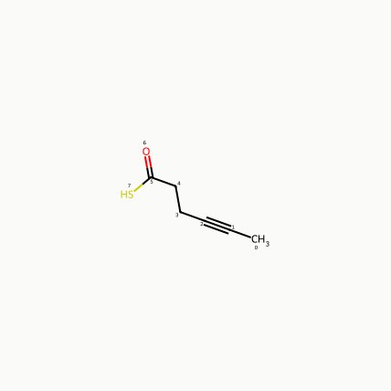 CC#CCCC(=O)S